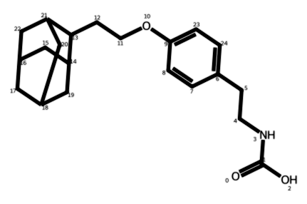 O=C(O)NCCc1ccc(OCCC2C3CC4CC(C3)CC2C4)cc1